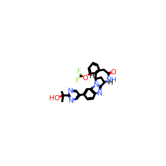 CC(C)(O)c1ncc(-c2ccc3nc4n(c3c2)[C@@H]2C[C@H]4NC(=O)Cc3cccc(OC(F)F)c32)cn1